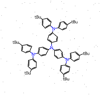 CC(C)(C)c1ccc(N(c2ccc(N(c3ccc(N(c4ccc(C(C)(C)C)cc4)c4ccc(C(C)(C)C)cc4)cc3)c3ccc(N(c4ccc(C(C)(C)C)cc4)c4ccc(C(C)(C)C)cc4)cc3)cc2)c2ccc(C(C)(C)C)cc2)cc1